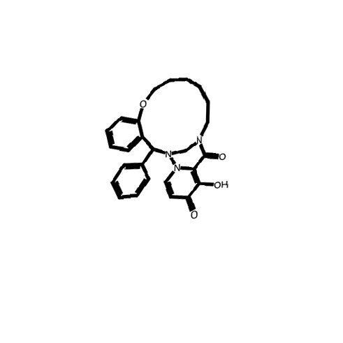 O=C1c2c(O)c(=O)ccn2N2CN1CCCCCCOc1ccccc1C2c1ccccc1